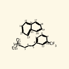 CC[N@@H+]([O-])CCCc1cccc(C(F)(F)F)c1.c1ccc2ccccc2c1